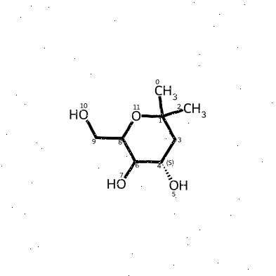 CC1(C)C[C@H](O)C(O)C(CO)O1